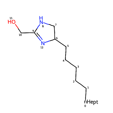 CCCCCCCCCCCCC1CNC(CO)=N1